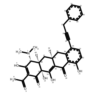 CN(C)[C@H]1C(O)=C(C(N)=O)C(=O)[C@]2(O)C(O)=C3C(=O)c4c(O)ccc(C#CCc5ccccc5)c4C[C@@H]3C[C@H]12